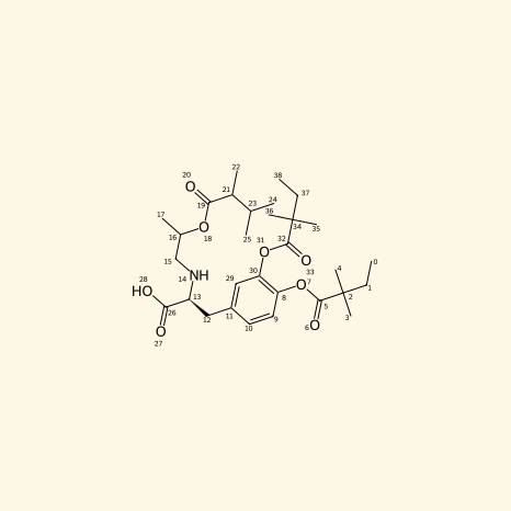 CCC(C)(C)C(=O)Oc1ccc(C[C@H](NCC(C)OC(=O)C(C)C(C)C)C(=O)O)cc1OC(=O)C(C)(C)CC